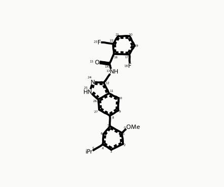 COc1ccc(C(C)C)cc1-c1ccc2c(NC(=O)c3c(F)cccc3F)n[nH]c2c1